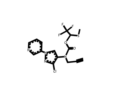 C#CCN(C(=O)OC(SC)C(F)(F)F)c1cn(-c2cccnc2)nc1Cl